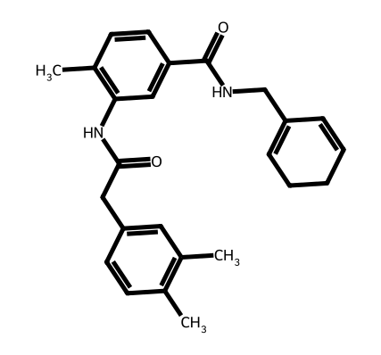 Cc1ccc(CC(=O)Nc2cc(C(=O)NCC3=CCCC=C3)ccc2C)cc1C